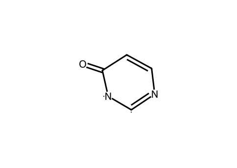 O=C1C=CN=[C][N]1